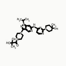 CC(C)n1nc(N2CCN(C(=O)C(C)(C)O)CC2)c2cnc(Nc3ccnc(N4CCC(C)(O)CC4)n3)cc21